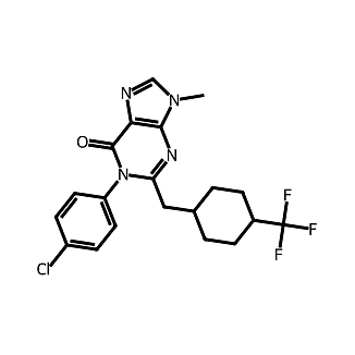 Cn1cnc2c(=O)n(-c3ccc(Cl)cc3)c(CC3CCC(C(F)(F)F)CC3)nc21